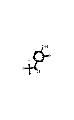 O=C(c1ccc(O)c(F)c1)C(F)(F)F